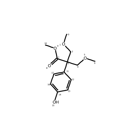 COCC(COC)(C(=O)OC)c1ccc(O)cc1